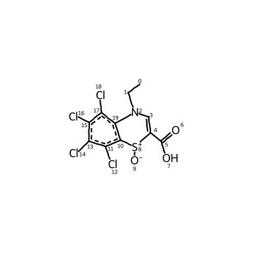 CCN1C=C(C(=O)O)[S+]([O-])c2c(Cl)c(Cl)c(Cl)c(Cl)c21